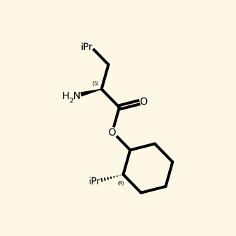 CC(C)C[C@H](N)C(=O)OC1CCCC[C@@H]1C(C)C